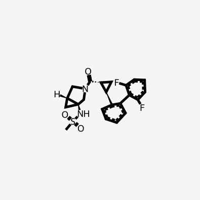 CS(=O)(=O)N[C@@]12C[C@@H]1CN(C(=O)[C@@H]1C[C@H]1c1ccccc1-c1c(F)cccc1F)C2